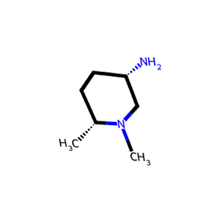 C[C@@H]1CC[C@H](N)CN1C